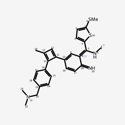 CSc1ccc(/C(NI)=C2\C=C(C3=CC(C)=C3c3ccc(CN(C)C)cc3)C=CC2=N)s1